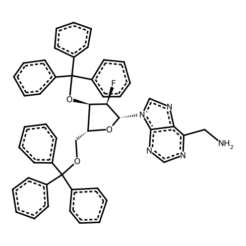 NCc1ncnc2c1ncn2[C@@H]1O[C@H](COC(c2ccccc2)(c2ccccc2)c2ccccc2)[C@@H](OC(c2ccccc2)(c2ccccc2)c2ccccc2)[C@H]1F